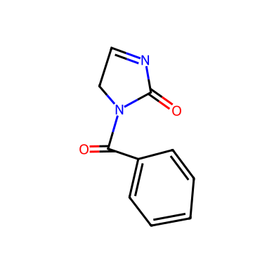 O=C1N=CCN1C(=O)c1ccccc1